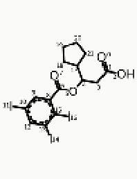 O=C(O)CC(OC(=O)c1cc(I)cc(I)c1I)C1CCCC1